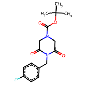 CC(C)(C)OC(=O)N1CC(=O)N(Cc2ccc(F)cc2)C(=O)C1